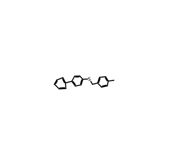 Cc1ccc(CSc2ccc(-c3ccccc3)cc2)cc1